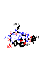 CCCCc1ccc(-c2ccc(C(=O)N[C@H](CO)C(=O)N[C@H](N)C(=O)NCC(=O)N(C)[C@@H](CCCC(=O)O)C(=O)N[C@@H](N)C(=O)N[C@@H](CC(N)=O)C(=O)N[C@@H](N)B3OC4C[C@@H]5C[C@@H](C5(C)C)[C@]4(C)O3)cc2)cc1